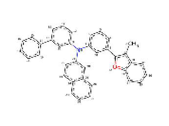 Cc1c(-c2cccc(N(c3cccc(-c4ccccc4)c3)c3ccc4ccccc4c3)c2)oc2ccccc12